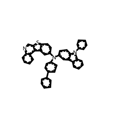 c1ccc(-c2ccc(N(c3ccc4sc5cnc6ccccc6c5c4c3)c3ccc4c(c3)c3ccccc3n4-c3ccccc3)cc2)cc1